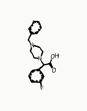 O=C(O)C(c1cccc(F)c1)N1CCN(Cc2ccccc2)CC1